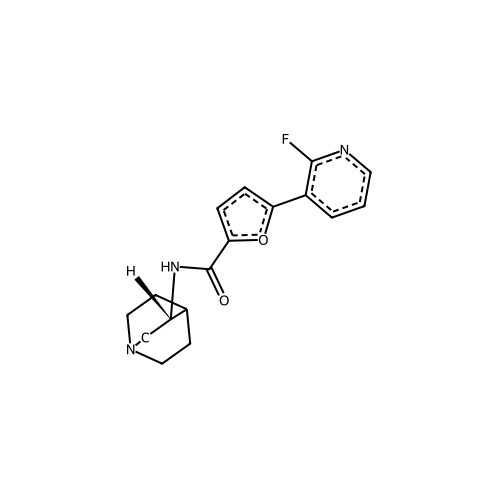 O=C(N[C@H]1CN2CCC1CC2)c1ccc(-c2cccnc2F)o1